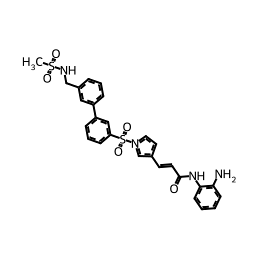 CS(=O)(=O)NCc1cccc(-c2cccc(S(=O)(=O)n3ccc(/C=C/C(=O)Nc4ccccc4N)c3)c2)c1